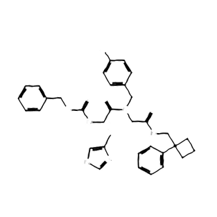 Cc1ccc(CN(CC(=O)NCC2(c3ccccc3)CCC2)C(=O)[C@H](Cc2c[nH]cn2)NC(=O)OCc2ccccc2)cc1